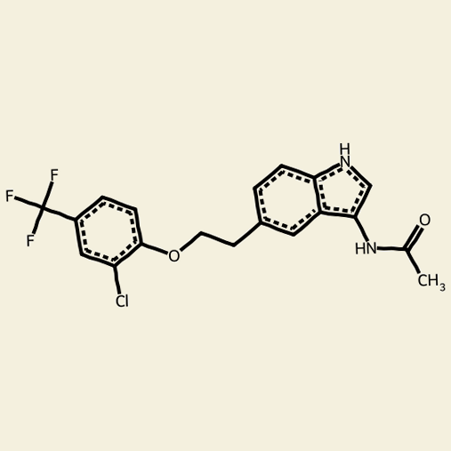 CC(=O)Nc1c[nH]c2ccc(CCOc3ccc(C(F)(F)F)cc3Cl)cc12